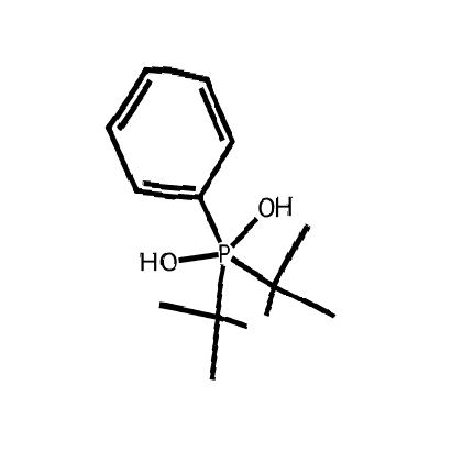 CC(C)(C)P(O)(O)(c1ccccc1)C(C)(C)C